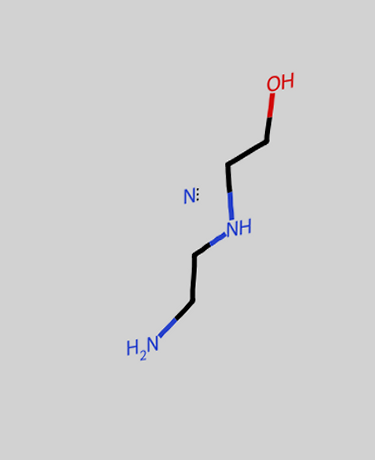 NCCNCCO.[N]